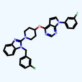 Fc1cccc(Cn2c(N3CCC(Oc4ncnc5c4ccn5-c4cccc(F)c4)CC3)nc3ccccc32)c1